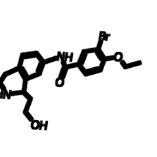 CCOc1ccc(C(=O)Nc2ccc3c(c2)C(CCO)NCC3)cc1Br